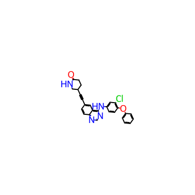 O=C1CCC(C#Cc2ccc3ncnc(Nc4ccc(Oc5ccccc5)c(Cl)c4)c3c2)CN1